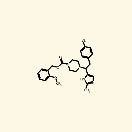 Cc1ncc(C(Cc2ccc(C#N)cc2)N2CCN(C(=O)OCc3ccccc3OC(F)(F)F)CC2)[nH]1